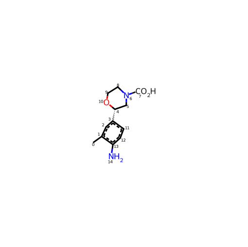 Cc1cc([C@H]2CN(C(=O)O)CCO2)ccc1N